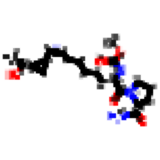 C=C(O)[C@H]1CC1/C=C\CCCCC[C@H](NC(=O)OC(C)(C)C)C(=O)N1CCC[C@H]1C(N)=O